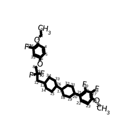 CCOc1ccc(OCC(F)(F)CC2CCC(C3CCC(c4ccc(OC)c(F)c4F)CC3)CC2)cc1F